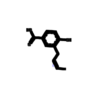 C/C=C\Cc1cc(C(=O)O)ccc1O